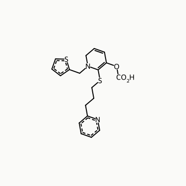 O=C(O)OC1=C(SCCCc2ccccn2)N(Cc2cccs2)CC=C1